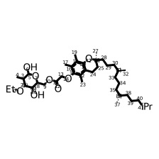 CCO[C@@H]1C(C)C(O)OC(COC(=O)COc2c(C)c(C)c3c(c2C)CC[C@](C)(CCC[C@@H](C)CCC[C@@H](C)CCCC(C)C)O3)[C@H]1O